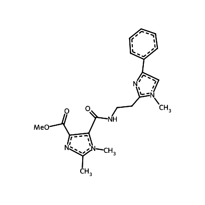 COC(=O)c1nc(C)n(C)c1C(=O)NCCc1nc(-c2ccccc2)cn1C